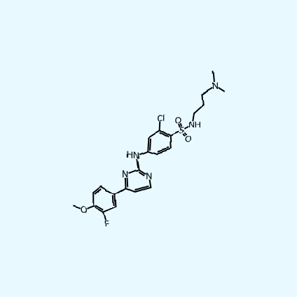 COc1ccc(-c2ccnc(Nc3ccc(S(=O)(=O)NCCCN(C)C)c(Cl)c3)n2)cc1F